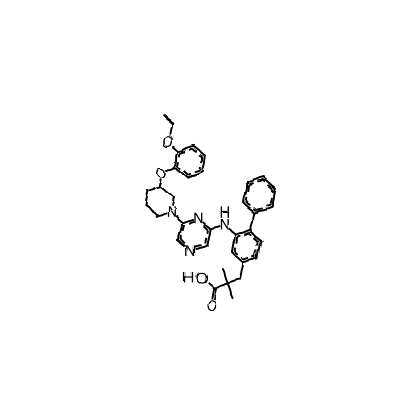 CCOc1ccccc1OC1CCCN(c2cncc(Nc3cc(CC(C)(C)C(=O)O)ccc3-c3ccccc3)n2)C1